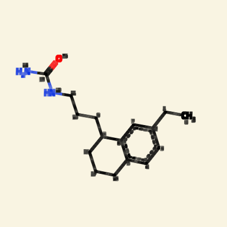 CCc1ccc2c(c1)C(CCCNC(N)=O)CCC2